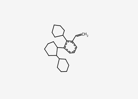 C=Cc1cccc(C2CCCCC2C2CCCCC2)c1C1CCCCC1